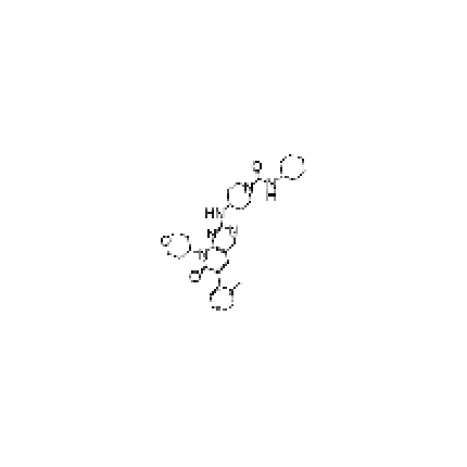 Cc1ccccc1-c1cc2cnc(NC3CCN(C(=O)NC4CCCCC4)CC3)nc2n(C2CCOCC2)c1=O